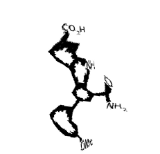 COc1cccc(-c2cc(C(N)=O)c3[nH]c4cc(C(=O)O)ccc4c3c2)c1